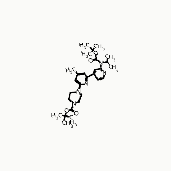 Cc1cc(-c2ccnc(N(C(=O)OC(C)(C)C)C(C)C)c2)nc(N2CCN(C(=O)OC(C)(C)C)CC2)c1